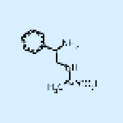 C[C@H](NCC(N)c1ccccc1)C(=O)O